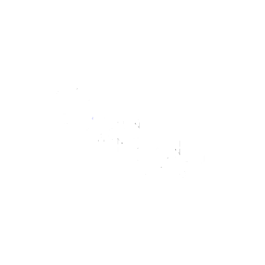 CC(=O)Nc1cccc(C(=N)NS(=O)(=O)/C=C/c2ccccc2)c1